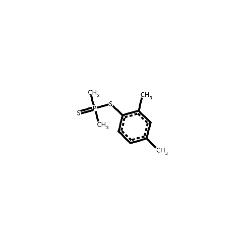 Cc1ccc(SP(C)(C)=S)c(C)c1